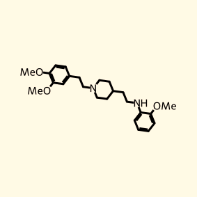 COc1ccccc1NCCC1CCN(CCc2ccc(OC)c(OC)c2)CC1